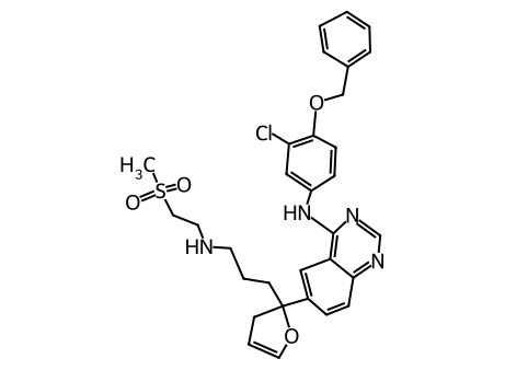 CS(=O)(=O)CCNCCCC1(c2ccc3ncnc(Nc4ccc(OCc5ccccc5)c(Cl)c4)c3c2)CC=CO1